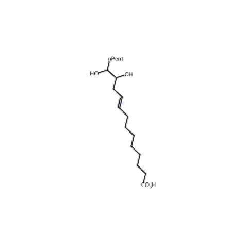 CCCCCC(O)C(O)C/C=C/CCCCCCCC(=O)O